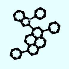 c1ccc(-c2ccc3ccc4c(-c5ccccc5)cc(-c5cc6ccccc6n5-c5ccccc5)c5ccc2c3c45)cc1